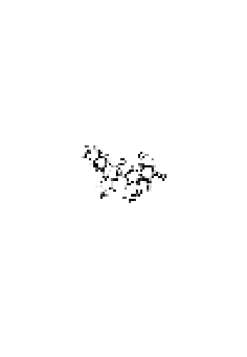 COc1cc(NC(=O)c2cc3c(nc2N2CC[C@H](F)C2)COC3)cc2c(C)cc(=O)[nH]c12